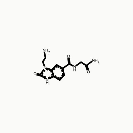 NCCn1c(=O)[nH]c2ccc(C(=O)NCC(N)=O)cc21